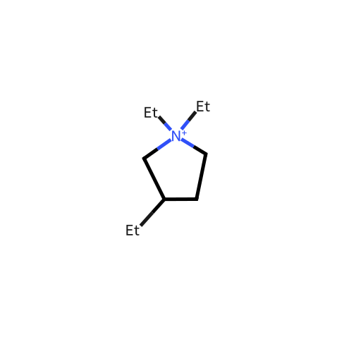 CCC1CC[N+](CC)(CC)C1